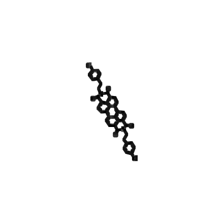 O=C1c2ccc3c4ccc5c6c(ccc(c7ccc(c2c37)C(=O)N1CCc1ccc(Cl)cc1)c64)C(=O)N(CCc1ccc(Cl)cc1)C5=O